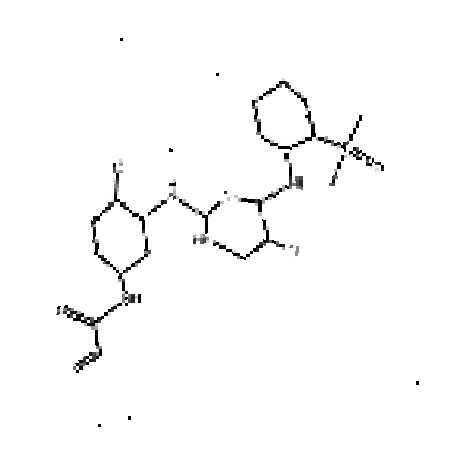 C=CC(=O)NC1CCC(Cl)C(NC2NCC(Cl)C(NC3CCCCC3P(C)(C)=O)N2)C1